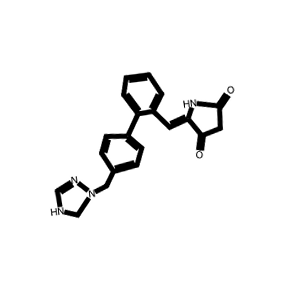 O=C1CC(=O)/C(=C/c2ccccc2-c2ccc(CN3CNC=N3)cc2)N1